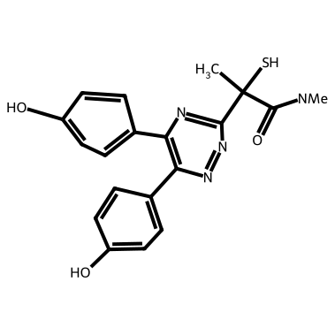 CNC(=O)C(C)(S)c1nnc(-c2ccc(O)cc2)c(-c2ccc(O)cc2)n1